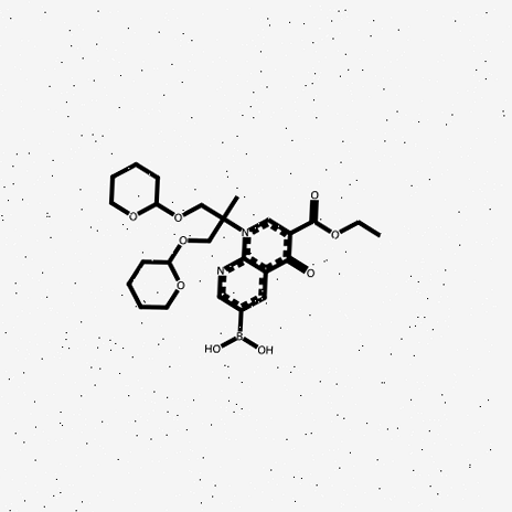 CCOC(=O)c1cn(C(C)(COC2CCCCO2)COC2CCCCO2)c2ncc(B(O)O)cc2c1=O